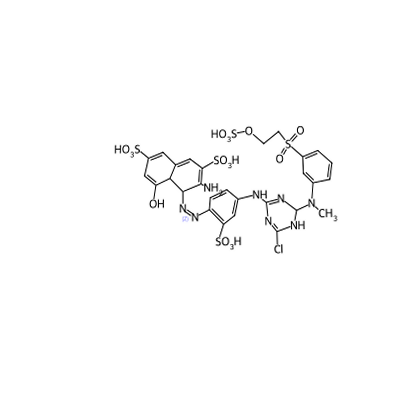 CN(c1cccc(S(=O)(=O)CCOS(=O)(=O)O)c1)C1N=C(Nc2ccc(/N=N\C3C(N)=C(S(=O)(=O)O)C=C4C=C(S(=O)(=O)O)C=C(O)C43)c(S(=O)(=O)O)c2)N=C(Cl)N1